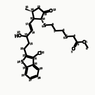 COC(=O)CSCCCS[C@H]1C(=O)C[C@@H](C)C1/C=C/C(O)CCc1sc2ccccc2c1Cl